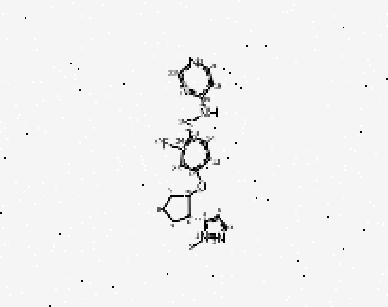 Cn1nccc1[C@@H]1CCCC1Oc1ccc(SNc2ccncn2)c(F)c1